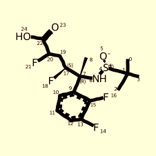 CC(C)(C)[S@@+]([O-])N[C@](C)(c1cccc(F)c1F)[C@@H](F)CC(F)C(=O)O